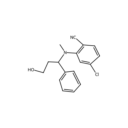 CN(c1cc(Cl)ccc1C#N)C(CCO)c1ccccc1